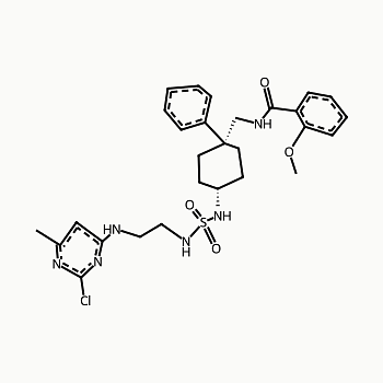 COc1ccccc1C(=O)NC[C@]1(c2ccccc2)CC[C@H](NS(=O)(=O)NCCNc2cc(C)nc(Cl)n2)CC1